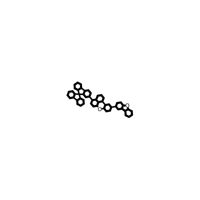 c1ccc2c(c1)-c1ccccc1C21c2ccccc2-c2ccc(-c3ccc4c5c(cccc35)-c3cc(-c5ccc6oc7ccccc7c6c5)ccc3O4)cc21